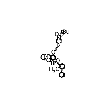 Cc1c(COc2cc(OCCCN3CCN(C(=O)OC(C)(C)C)CC3)c(CN3CCCC[C@H]3C)cc2Br)cccc1-c1ccccc1